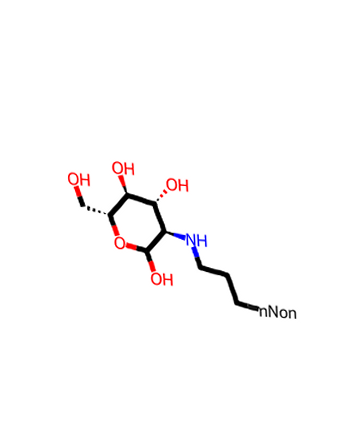 CCCCCCCCCCCCN[C@H]1C(O)O[C@H](CO)[C@@H](O)[C@@H]1O